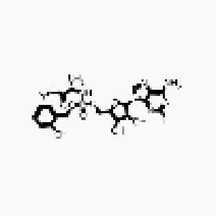 Cc1ccccc1CO[P@@](=O)(N[C@@H](C)C(=O)OC(C)C)OCC1OC(n2cnc3c(N)nc(F)nc32)C(O)C1O